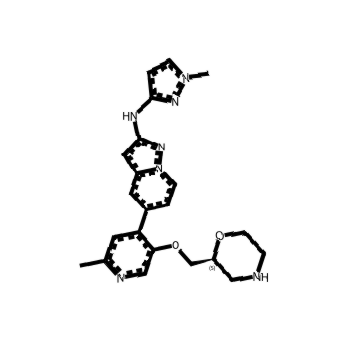 Cc1cc(-c2ccn3nc(Nc4ccn(C)n4)cc3c2)c(OC[C@@H]2CNCCO2)cn1